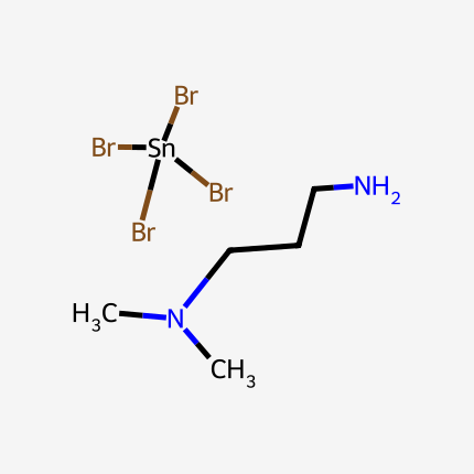 CN(C)CCCN.[Br][Sn]([Br])([Br])[Br]